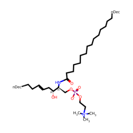 CCCCCCCCCCCCC=CC[C@@H](O)[C@H](COP(=O)([O-])OCC[N+](C)(C)C)NC(=O)CCCCCCCCCCCCCCCCCCCCCCCC